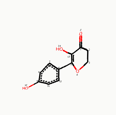 O=C1CCOC(c2ccc(O)cc2)=C1O